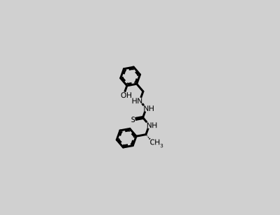 C[C@@H](NC(=S)NNCc1ccccc1O)c1ccccc1